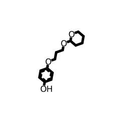 Oc1ccc(OCCCOC2CCCCO2)cc1